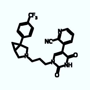 N#Cc1ncccc1-c1cn(CCCN2CC3CC3(c3ccc(C(F)(F)F)cc3)C2)c(=O)[nH]c1=O